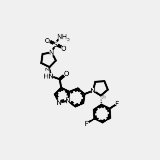 NS(=O)(=O)N1CC[C@H](NC(=O)c2cnn3ccc(N4CCC[C@@H]4c4cc(F)ccc4F)cc23)C1